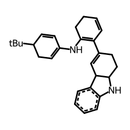 CC(C)(C)C1C=CC(NC2=C(C3=CC4c5ccccc5NC4CC3)C=CCC2)=CC1